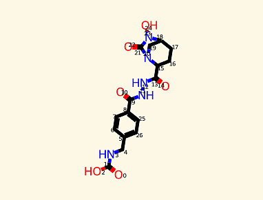 O=C(O)NCc1ccc(C(=O)NNC(=O)C2CCC3CN2C(=O)N3O)cc1